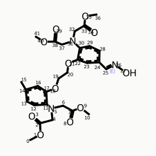 COC(=O)CN(CC(=O)OC)c1ccc(C)cc1OCCOc1cc(/C=N/O)ccc1N(CC(=O)OC)CC(=O)OC